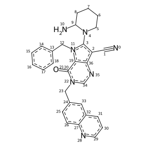 N#Cc1c(N2CCCCC2N)n(Cc2ccccc2)c2c(=O)n(Cc3ccc4ncccc4c3)cnc12